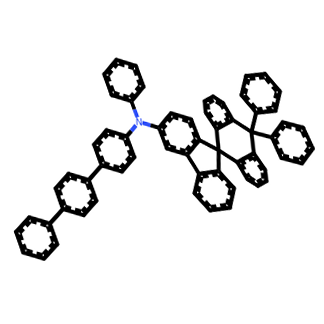 c1ccc(-c2ccc(-c3ccc(N(c4ccccc4)c4ccc5c(c4)-c4ccccc4C54c5ccccc5C(c5ccccc5)(c5ccccc5)c5ccccc54)cc3)cc2)cc1